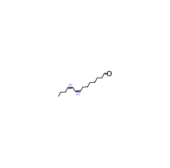 CCC/C=C\C=C/CCCCCCC=O